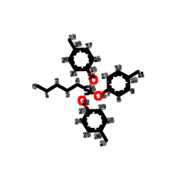 CCCCC[Si](Oc1ccc(C)cc1)(Oc1ccc(C)cc1)Oc1ccc(C)cc1